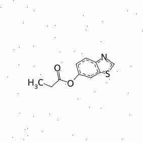 CCC(=O)Oc1ccc2ncsc2c1